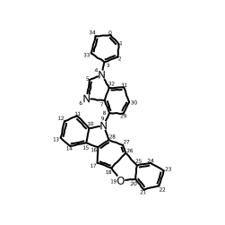 c1ccc(-n2cnc3c(-n4c5ccccc5c5cc6oc7ccccc7c6cc54)cccc32)cc1